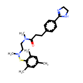 Cc1cc(C)c(SN(C)CCN(C)C(=O)CCc2ccc(C3=NCCN3)cc2)c(C)c1